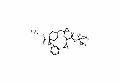 CCOC(=O)C1(C)CCN(CC2(CN(C(=O)OC(C)(C)C)C3C[C@@H]3c3ccccc3)CC2)CC1